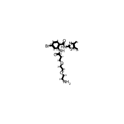 Cc1nc(NC(=O)c2ccc(Br)cc2NC(=O)CCOCCOCCN)sc1C